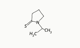 CC(C)N1CCCC1=S